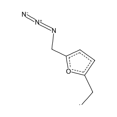 [CH2]Cc1ccc(CN=[N+]=[N-])o1